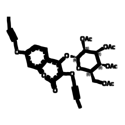 CC#COc1ccc2c(O[C@H]3O[C@H](COC(C)=O)[C@@H](OC(C)=O)[C@H](OC(C)=O)[C@@H]3OC(C)=O)c(OC#CC)c(=O)oc2c1